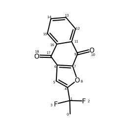 CC(F)(F)c1cc2c(o1)C(=O)c1ccccc1C2=O